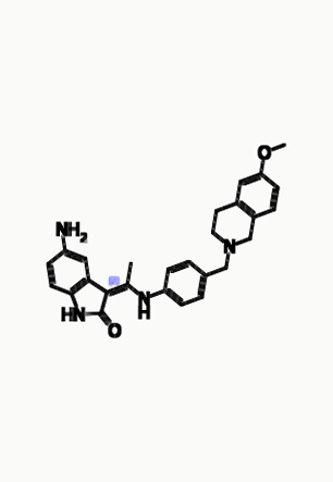 COc1ccc2c(c1)CCN(Cc1ccc(N/C(C)=C3\C(=O)Nc4ccc(N)cc43)cc1)C2